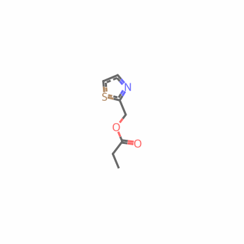 CCC(=O)OCc1nccs1